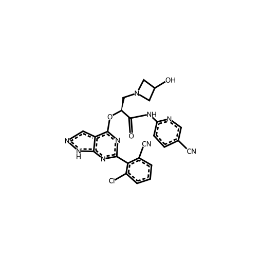 N#Cc1ccc(NC(=O)[C@H](CN2CC(O)C2)Oc2nc(-c3c(Cl)cccc3C#N)nc3[nH]ncc23)nc1